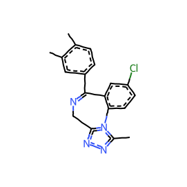 Cc1ccc(C2=NCc3nnc(C)n3-c3ccc(Cl)cc32)cc1C